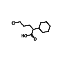 O=C(O)C(CCCCl)C1CCCCC1